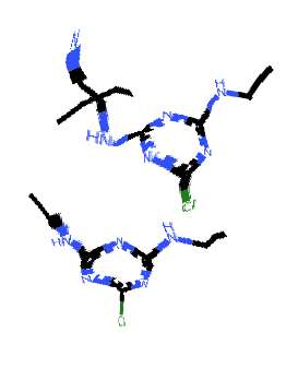 CCNc1nc(Cl)nc(NC(C)(C)C#N)n1.CCNc1nc(Cl)nc(NCC)n1